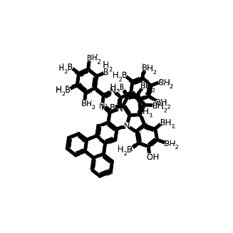 Bc1c(B)c(B)c(-c2nc(-c3cc4c5ccccc5c5ccccc5c4cc3-n3c4c(B)c(B)c(B)c(B)c4c4c(B)c(B)c(O)c(B)c43)nc(-c3c(B)c(B)c(B)c(B)c3B)n2)c(B)c1B